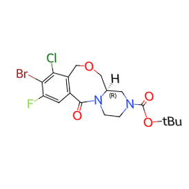 CC(C)(C)OC(=O)N1CCN2C(=O)c3cc(F)c(Br)c(Cl)c3COC[C@H]2C1